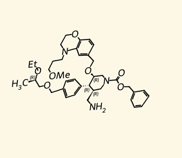 CCO[C@H](C)COCc1ccc([C@H]2[C@H](CN)CN(C(=O)OCc3ccccc3)C[C@@H]2OCc2ccc3c(c2)N(CCCOC)CCO3)cc1